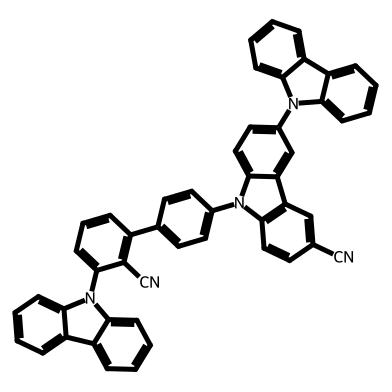 N#Cc1ccc2c(c1)c1cc(-n3c4ccccc4c4ccccc43)ccc1n2-c1ccc(-c2cccc(-n3c4ccccc4c4ccccc43)c2C#N)cc1